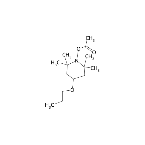 CCCOC1CC(C)(C)N(OC(C)=O)C(C)(C)C1